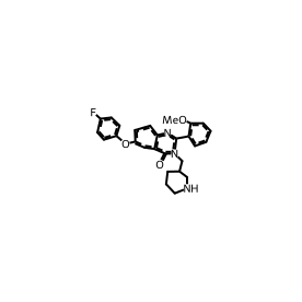 COc1ccccc1-c1nc2ccc(Oc3ccc(F)cc3)cc2c(=O)n1CC1CCCNC1